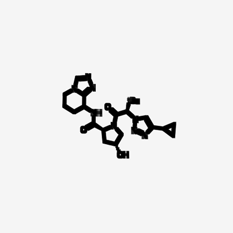 CC(C)(C)[C@H](C(=O)N1C[C@H](O)C[C@H]1C(=O)NC1CCCn2cnnc21)n1cc(C2CC2)nn1